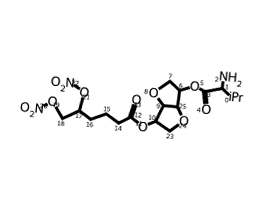 CC(C)C(N)C(=O)OC1COC2C(OC(=O)CCCC(CO[N+](=O)[O-])O[N+](=O)[O-])COC12